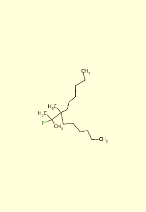 CCCCCCC(C)(CCCCCC)C(C)(C)F